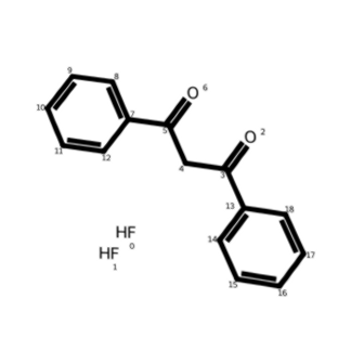 F.F.O=C(CC(=O)c1ccccc1)c1ccccc1